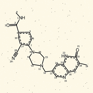 CNC(=O)c1ccc(N2CCN(Cc3cnc4cc(C)c(=O)[nH]c4c3)CC2)c(C#N)c1